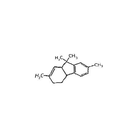 CC1=CC2C(CC1)c1ccc(C)cc1C2(C)C